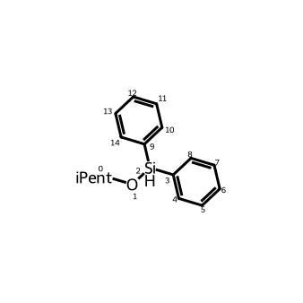 CCCC(C)O[SiH](c1ccccc1)c1ccccc1